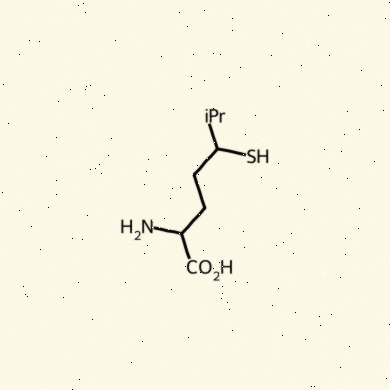 CC(C)C(S)CCC(N)C(=O)O